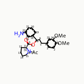 COc1ccc(CC[C@@H](OC(=O)[C@@H]2CCCCN2C(C)=O)c2cccc(N)c2)cc1OC